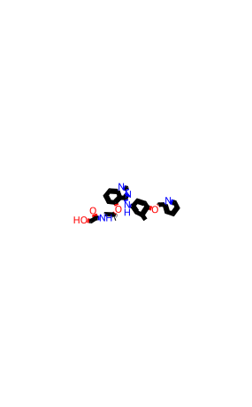 Cc1cc(Nc2ncnc3cccc(O[C@H](C)CNC(=O)CO)c23)ccc1OCc1ccccn1